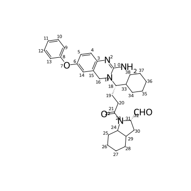 NC1=Nc2ccc(Oc3ccccc3)cc2CN1[C@@H](CCC(=O)N1C2CCCCC2C[C@H]1C=O)C1CCCCC1